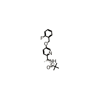 C[C@@H](N[S@+]([O-])C(C)(C)C)c1ccc(OCc2ccccc2F)cn1